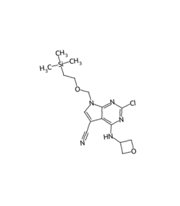 C[Si](C)(C)CCOCn1cc(C#N)c2c(NC3COC3)nc(Cl)nc21